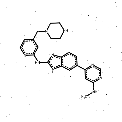 CNc1cc(-c2ccc3nc(Nc4cc(CN5CCNCC5)ccn4)[nH]c3c2)ncn1